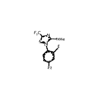 CCc1ccc(-n2nc(C(F)(F)F)nc2NC)c(F)c1